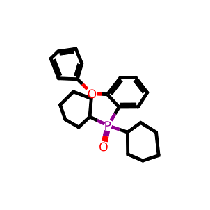 O=P(c1ccccc1Oc1ccccc1)(C1CCCCC1)C1CCCCC1